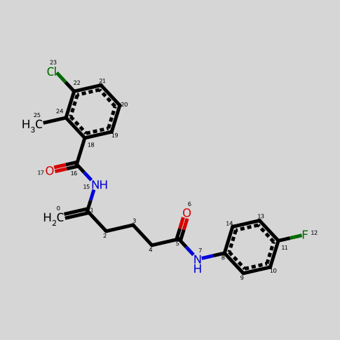 C=C(CCCC(=O)Nc1ccc(F)cc1)NC(=O)c1cccc(Cl)c1C